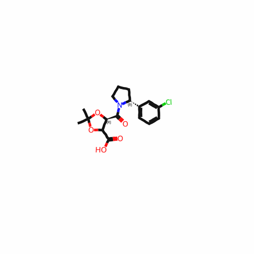 CC1(C)OC(C(=O)O)[C@H](C(=O)N2CCC[C@@H]2c2cccc(Cl)c2)O1